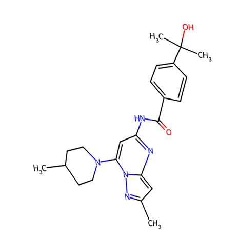 Cc1cc2nc(NC(=O)c3ccc(C(C)(C)O)cc3)cc(N3CCC(C)CC3)n2n1